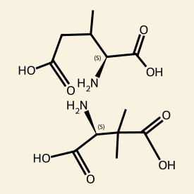 CC(C)(C(=O)O)[C@H](N)C(=O)O.CC(CC(=O)O)[C@H](N)C(=O)O